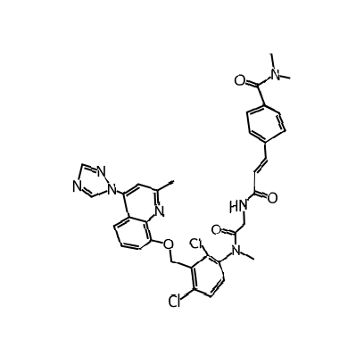 Cc1cc(-n2cncn2)c2cccc(OCc3c(Cl)ccc(N(C)C(=O)CNC(=O)C=Cc4ccc(C(=O)N(C)C)cc4)c3Cl)c2n1